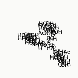 CC(=O)NC1C(O)[C@H](O[C@@H]2OC(CO)[C@H](O)C(O[C@H]3OC(CO)[C@H](O)C(O)C3O)C2O)C(CO)O[C@H]1OCCCNC(=O)COc1cc(C)cc(-c2cc(OCC(=O)NCCCO[C@@H]3OC(CO)[C@@H](O[C@@H]4OC(CO)[C@H](O)C(O[C@H]5OC(CO)[C@H](O)C(O)C5O)C4O)C(O)C3NC(C)=O)cc(OCC(=O)NCCCO[C@@H]3OC(CO)[C@@H](O[C@@H]4OC(CO)CC(CO)(O[C@H]5OC(CO)[C@H](O)C(O)C5O)C4O)C(O)C3NC(C)=O)c2)c1